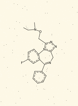 CCN(C)OCc1nnc2n1-c1ccc(F)cc1C(c1ccccc1)=NC2